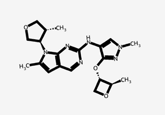 Cc1cc2cnc(Nc3cn(C)nc3O[C@H]3CO[C@@H]3C)nc2n1[C@H]1COC[C@@H]1C